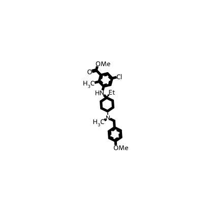 CC[C@]1(Nc2cc(Cl)cc(C(=O)OC)c2C)CC[C@@H](N(C)Cc2ccc(OC)cc2)CC1